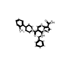 Cc1ccccc1C1CCN(C(=O)c2cnc3c(C(=O)O)cnn3c2NCc2ccccc2)CC1